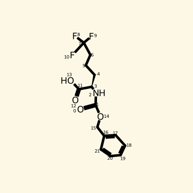 O=C(N[C@H](CCCC(F)(F)F)C(=O)O)OCc1ccccc1